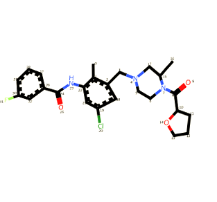 Cc1c(CN2CCN(C(=O)C3CCCO3)C(C)C2)cc(Cl)cc1NC(=O)c1cccc(F)c1